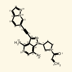 C=CC(=O)N1CC[C@H](n2nc(C#Cc3ccc4ccnn4c3)c3c(N)ncc(C(C)=O)c32)C1